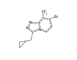 CCc1ccn2c(CC3CC3)nnc2c1C(F)(F)F